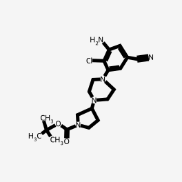 CC(C)(C)OC(=O)N1CCC(N2CCN(c3cc(C#N)cc(N)c3Cl)CC2)C1